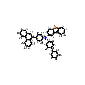 c1ccc(-c2ccc(N(c3ccc(-c4cc5ccccc5c5ccccc45)cc3)c3ccc4sc5ccccc5c4c3)cc2)cc1